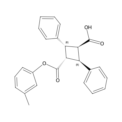 Cc1cccc(OC(=O)[C@H]2[C@H](c3ccccc3)[C@H](C(=O)O)[C@H]2c2ccccc2)c1